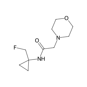 O=C(CN1CCOCC1)NC1(CF)CC1